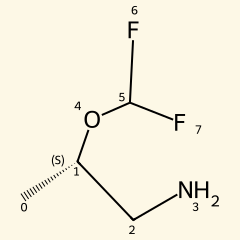 C[C@@H](CN)OC(F)F